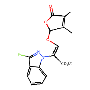 CCOC(=O)/C(=C/OC1OC(=O)C(C)=C1C)n1nc(F)c2ccccc21